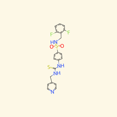 O=S(=O)(NCc1c(F)cccc1F)c1ccc(NC(=S)NCc2ccncc2)cc1